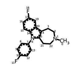 CN1CCc2c(n(-c3ccc(F)cc3)c3ccc(F)cc23)CC1